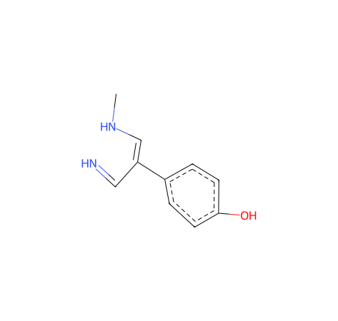 CN/C=C(\C=N)c1ccc(O)cc1